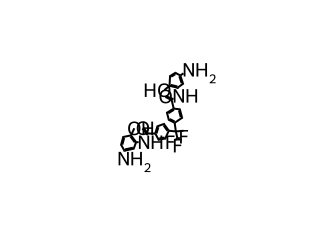 CC(c1ccc(C(=O)Nc2cc(N)ccc2O)cc1)(c1ccc(C(=O)Nc2cc(N)ccc2O)cc1)C(F)(F)F